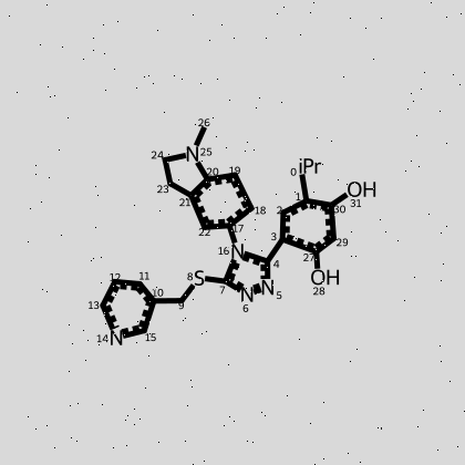 CC(C)c1cc(-c2nnc(SCc3cccnc3)n2-c2ccc3c(c2)CCN3C)c(O)cc1O